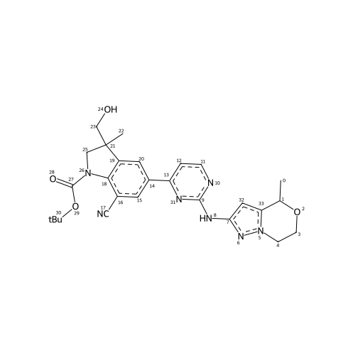 CC1OCCn2nc(Nc3nccc(-c4cc(C#N)c5c(c4)C(C)(CO)CN5C(=O)OC(C)(C)C)n3)cc21